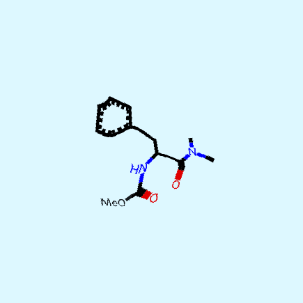 COC(=O)NC(Cc1ccccc1)C(=O)N(C)C